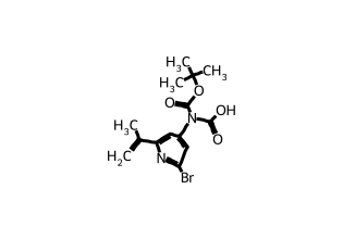 C=C(C)c1cc(N(C(=O)O)C(=O)OC(C)(C)C)cc(Br)n1